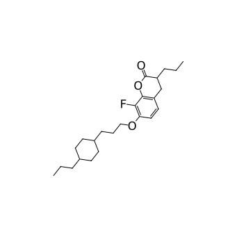 CCCC1CCC(CCCOc2ccc3c(c2F)OC(=O)C(CCC)C3)CC1